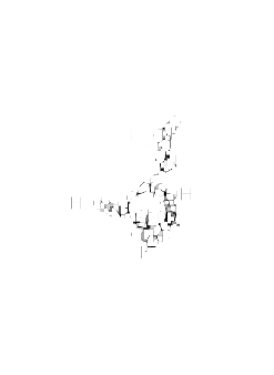 Cc1c(Cl)c2c(Cl)c(C)c1-c1c(-c3ccc(F)cc3)sc3ncnc(c13)O[C@@H](C(=O)O)Cc1cc(ccc1OCc1ccnc(N3CCC(C)(N4CCOCC4)CC3)n1)OC[C@@H](CN1CCN(C)CC1)O2